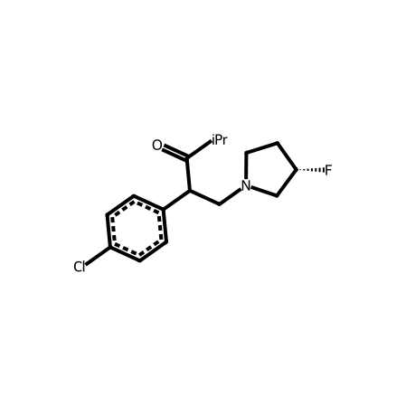 CC(C)C(=O)C(CN1CC[C@H](F)C1)c1ccc(Cl)cc1